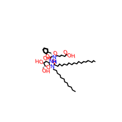 CCCCCCCCCCCCCCCCCC(=O)N(CCCCCCCCCCCC)[C@@H]1O[C@H](CO)[C@@H](O)[C@H](O)[C@H]1NC(=O)[C@H](Cc1ccccc1)NC(=O)CCCC(=O)O